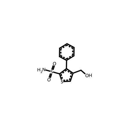 NS(=O)(=O)c1scc(CO)c1-c1ccccc1